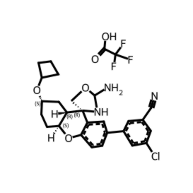 N#Cc1cc(Cl)cc(-c2ccc3c(c2)[C@@]2(COC(N)N2)[C@H]2C[C@@H](OC4CCC4)CC[C@@H]2O3)c1.O=C(O)C(F)(F)F